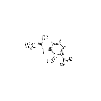 CC(=O)Cc1cccc([N+](=O)[O-])c1O